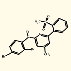 CCN(c1nc(C)cc(-c2ccccc2S(C)(=O)=O)n1)c1ccc(Br)cc1Br